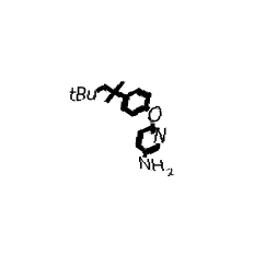 CC(C)(C)CC(C)(C)c1ccc(Oc2ccc(N)cn2)cc1